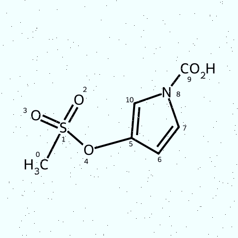 CS(=O)(=O)Oc1ccn(C(=O)O)c1